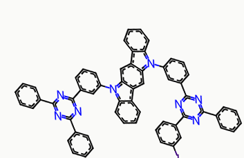 Ic1cccc(-c2nc(-c3ccccc3)nc(-c3cccc(-n4c5ccccc5c5cc6c(cc54)c4ccccc4n6-c4cccc(-c5nc(-c6ccccc6)nc(-c6ccccc6)n5)c4)c3)n2)c1